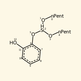 CCCCCO[SiH](OCCCCC)Oc1ccccc1O